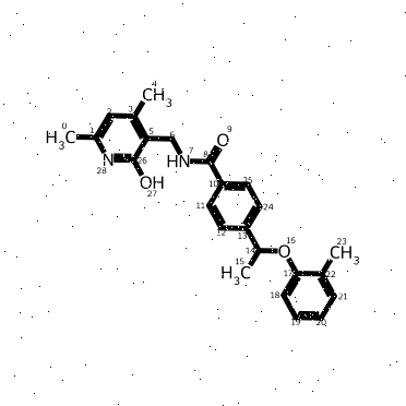 Cc1cc(C)c(CNC(=O)c2ccc(C(C)Oc3ccccc3C)cc2)c(O)n1